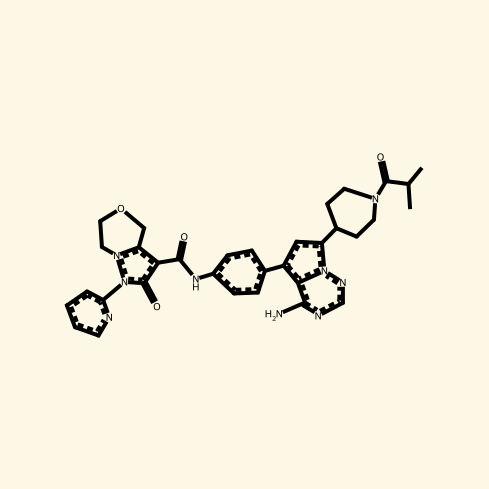 CC(C)C(=O)N1CCC(c2cc(-c3ccc(NC(=O)c4c5n(n(-c6ccccn6)c4=O)CCOC5)cc3)c3c(N)ncnn23)CC1